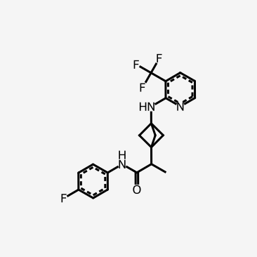 CC(C(=O)Nc1ccc(F)cc1)C12CC(Nc3ncccc3C(F)(F)F)(C1)C2